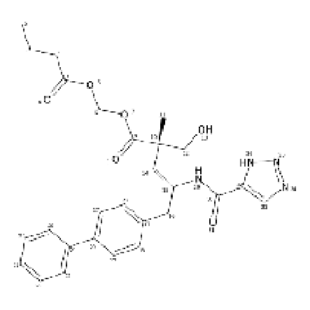 CCCC(=O)OCOC(=O)[C@](C)(CO)C[C@@H](Cc1ccc(-c2ccccc2)cc1)NC(=O)c1cnn[nH]1